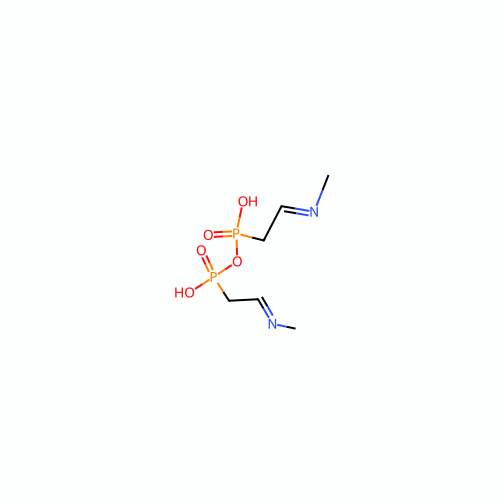 C/N=C/CP(=O)(O)OP(=O)(O)C/C=N/C